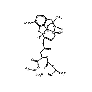 COc1ccc2c3c1O[C@H]1C(OC(=O)CC(OC(=O)CC(O)C(=O)O)C(=O)O[C@@H](C)C(=O)O)=CC[C@@]4(O)[C@@H](C2)N(C)CC[C@]314